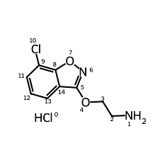 Cl.NCCOc1noc2c(Cl)cccc12